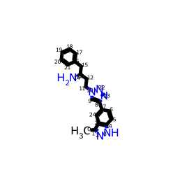 Cc1n[nH]c2ccc(-c3cn(CC[C@@H](N)Cc4ccccc4)nn3)cc12